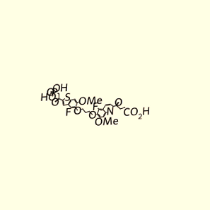 COc1cc2nc(C(=O)CCC(=O)O)ccc2c(F)c1OCCCOc1c(OC)cc2sc(C(=O)CP(=O)(O)O)cc2c1F